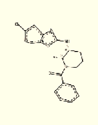 C[C@@H]1[C@H](Nc2nc3cc(Cl)ccc3o2)CCCN1C(=O)c1ccccc1